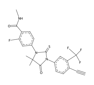 C#Cc1ccc(N2C(=O)C(C)(C)N(c3ccc(C(=O)NC)c(F)c3)C2=S)cc1C(F)(F)F